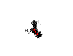 Cc1ccc(OC(=O)N2[C@@H]3CC[C@@H]2CC(Oc2ccn(-c4ccc(S(C)(=O)=O)cc4)c(=O)c2)C3)cc1